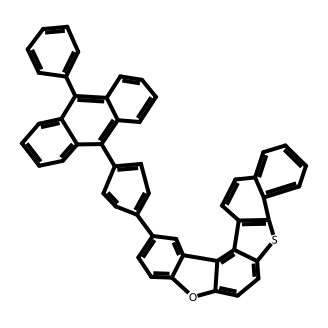 c1ccc(-c2c3ccccc3c(-c3ccc(-c4ccc5oc6ccc7sc8c9ccccc9ccc8c7c6c5c4)cc3)c3ccccc23)cc1